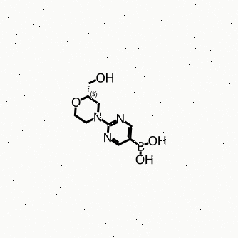 OC[C@@H]1CN(c2ncc(B(O)O)cn2)CCO1